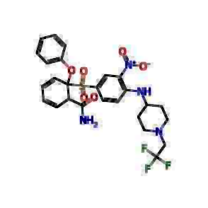 NC(=O)C1C=CC=CC1(Oc1ccccc1)S(=O)(=O)c1ccc(NC2CCN(CC(F)(F)F)CC2)c([N+](=O)[O-])c1